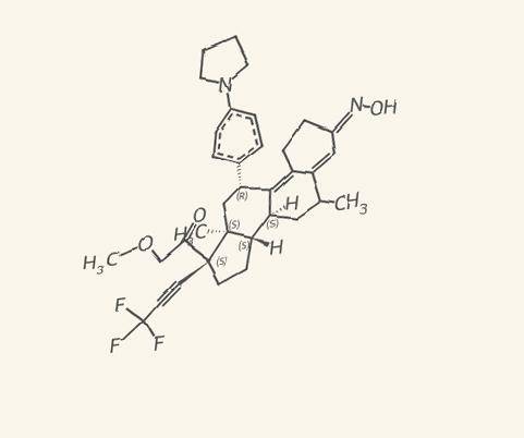 COCC(=O)[C@@]1(C#CC(F)(F)F)CC[C@H]2[C@@H]3CC(C)C4=CC(=NO)CCC4=C3[C@@H](c3ccc(N4CCCC4)cc3)C[C@@]21C